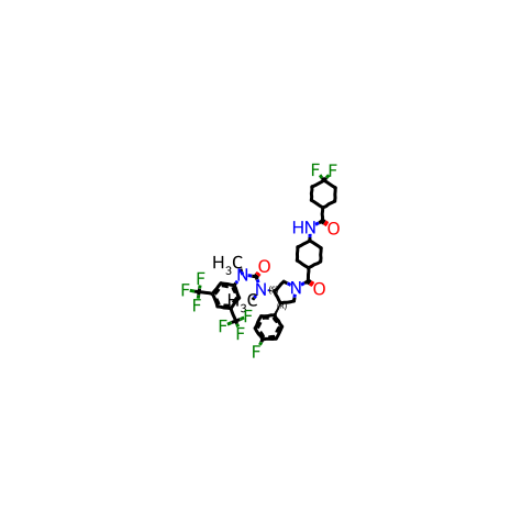 CN(C(=O)N(C)[C@@H]1CN(C(=O)C2CCC(NC(=O)C3CCC(F)(F)CC3)CC2)C[C@H]1c1ccc(F)cc1)c1cc(C(F)(F)F)cc(C(F)(F)F)c1